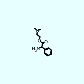 CN(C)CCOC(=O)C(N)c1ccccc1